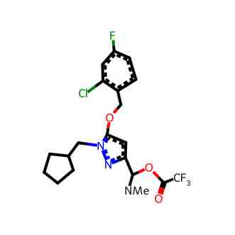 CNC(OC(=O)C(F)(F)F)c1cc(OCc2ccc(F)cc2Cl)n(CC2CCCC2)n1